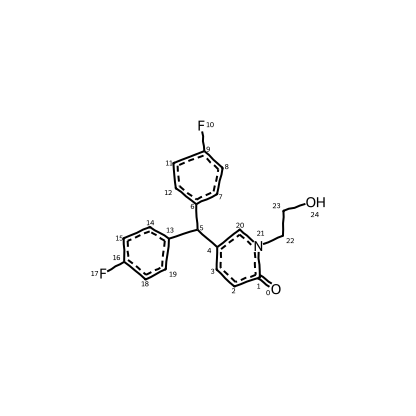 O=c1ccc(C(c2ccc(F)cc2)c2ccc(F)cc2)cn1CCO